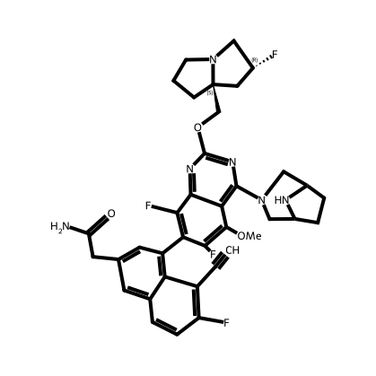 C#Cc1c(F)ccc2cc(CC(N)=O)cc(-c3c(F)c(OC)c4c(N5CC6CCC(C5)N6)nc(OC[C@@]56CCCN5C[C@H](F)C6)nc4c3F)c12